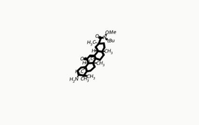 CON(C(=O)[C@@]1(C)CC[C@]2(C)CC[C@]3(C)C(=CC(=O)[C@@H]4[C@@]5(C)CC[C@H](N)C(C)(C)C5CC[C@]43C)[C@@H]2C1)C(C)(C)C